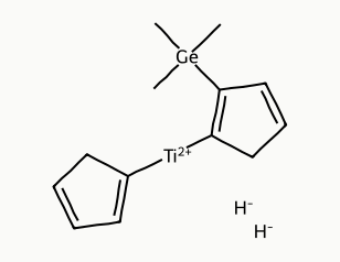 [CH3][Ge]([CH3])([CH3])[C]1=[C]([Ti+2][C]2=CC=CC2)CC=C1.[H-].[H-]